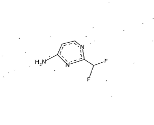 Nc1ccnc(C(F)F)n1